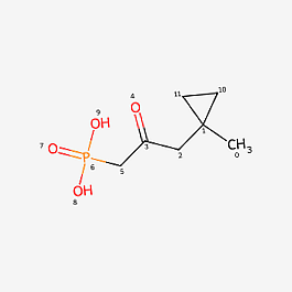 CC1(CC(=O)CP(=O)(O)O)CC1